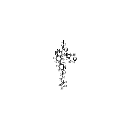 C[C@H](Nc1c(C(N)=O)nnc2ccc(-c3ccc(OCCCN4CCCC4)nc3)cc12)C1CCOCC1